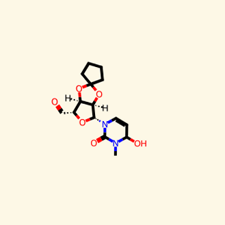 CN1C(=O)N([C@@H]2O[C@H](C=O)[C@H]3OC4(CCCC4)O[C@H]32)C=CC1O